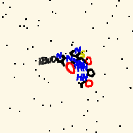 C=CC(=O)N[C@H]1CCC[C@H]1NC(=O)c1sc2nccc3c2c1NC(=O)N3c1cnc(OCC(C)C)cc1C